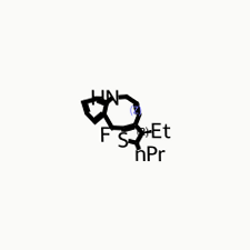 CCCC1SC2=C(/C=C\CNc3ccccc3C2F)[C@H]1CC